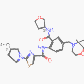 CO[C@H]1CCN(c2nc(C(=O)Nc3ccc(CN4CCOCC4(C)C)cc3C(=O)N[C@H]3CCOC3)cs2)C1